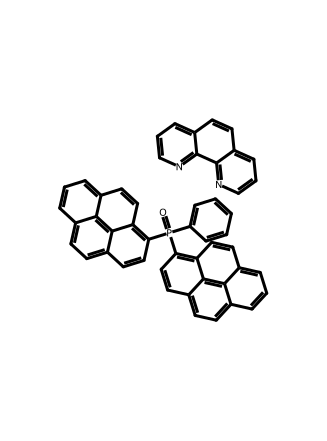 O=P(c1ccccc1)(c1ccc2ccc3cccc4ccc1c2c34)c1ccc2ccc3cccc4ccc1c2c34.c1cnc2c(c1)ccc1cccnc12